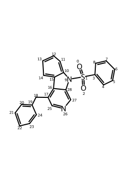 O=S(=O)(c1ccccc1)n1c2ccccc2c2c(Cc3ccccc3)cncc21